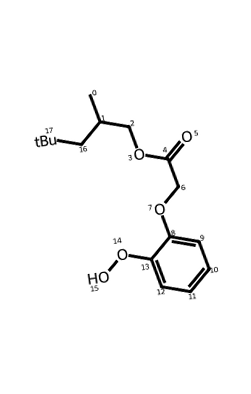 CC(COC(=O)COc1ccccc1OO)CC(C)(C)C